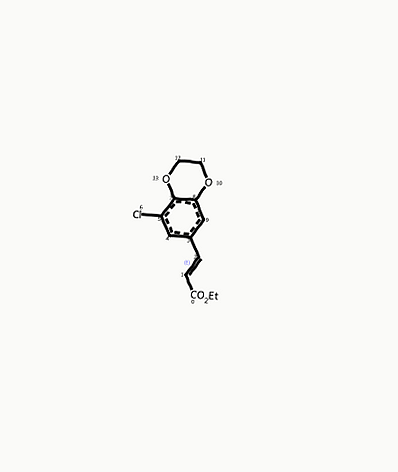 CCOC(=O)/C=C/c1cc(Cl)c2c(c1)OCCO2